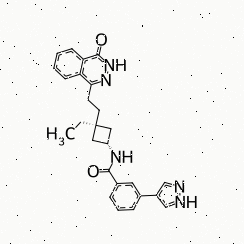 CC[C@]1(CCc2n[nH]c(=O)c3ccccc23)C[C@H](NC(=O)c2cccc(-c3cn[nH]c3)c2)C1